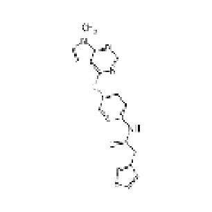 Cn1ccc2c(Oc3ccc(NC(=O)Cc4ccsc4)cc3)ncnc21